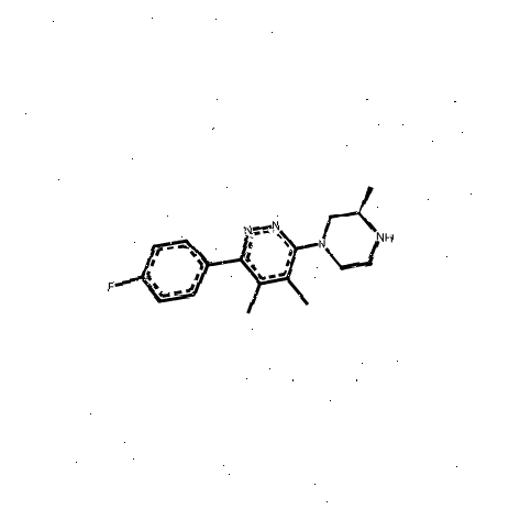 Cc1c(-c2ccc(F)cc2)nnc(N2CCN[C@H](C)C2)c1C